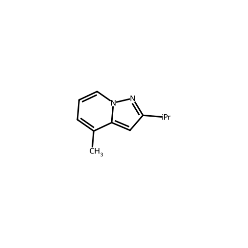 Cc1cccn2nc(C(C)C)cc12